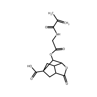 C=C(C)C(=O)NCC(=O)OC1C2OC(=O)C3CC1(C(=O)O)CC32